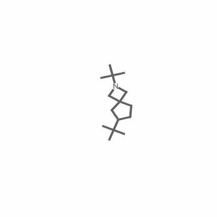 CC(C)(C)C1CCC2(C1)CN(C(C)(C)C)C2